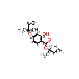 CCC(C)(C)OC(=O)c1ccc(OC(C)(C)CC)cc1O